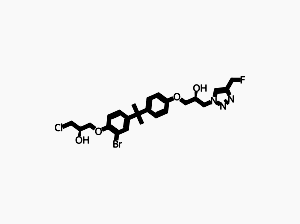 CC(C)(c1ccc(OC[C@@H](O)Cn2cc(CF)nn2)cc1)c1ccc(OC[C@@H](O)CCl)c(Br)c1